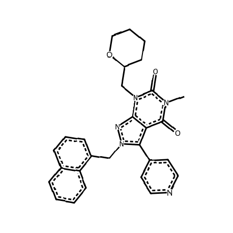 Cn1c(=O)c2c(-c3ccncc3)n(Cc3cccc4ccccc34)nc2n(CC2CCCCO2)c1=O